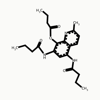 CCCC(=O)Nc1cc(NC(=O)CCC)c2ccc(C)nc2c1OC(=O)CCC